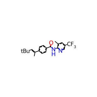 C/C(=C\C(C)(C)C)c1ccc(C(=O)Nc2ncc(C(F)(F)F)cc2C)cc1